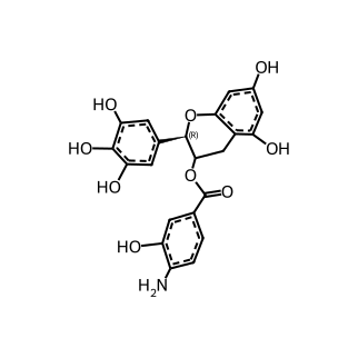 Nc1ccc(C(=O)OC2Cc3c(O)cc(O)cc3O[C@@H]2c2cc(O)c(O)c(O)c2)cc1O